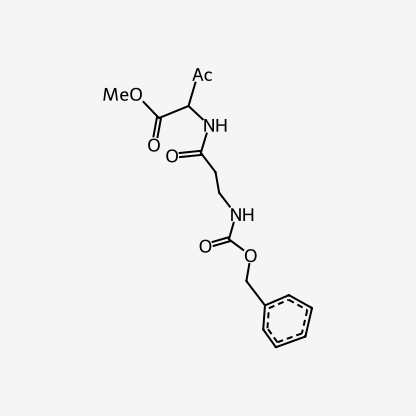 COC(=O)C(NC(=O)CCNC(=O)OCc1ccccc1)C(C)=O